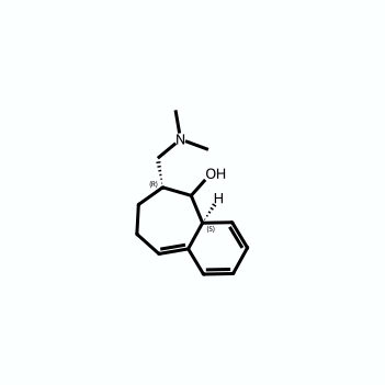 CN(C)C[C@H]1CCC=C2C=CC=C[C@@H]2C1O